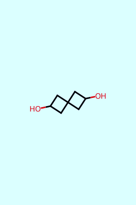 OC1CC2(C1)CC(O)C2